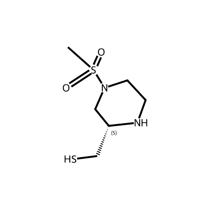 CS(=O)(=O)N1CCN[C@H](CS)C1